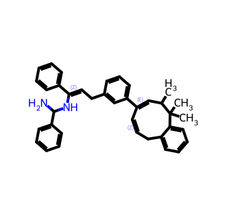 CC1/C=C(c2cccc(C/C=C(\NC(N)c3ccccc3)c3ccccc3)c2)\C=C/Cc2ccccc2C1(C)C